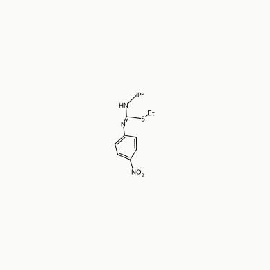 CCSC(=Nc1ccc([N+](=O)[O-])cc1)NC(C)C